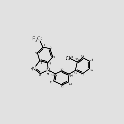 FC(F)(F)c1ccc2c(c1)ncn2-c1cccc(-c2ccccc2Cl)c1